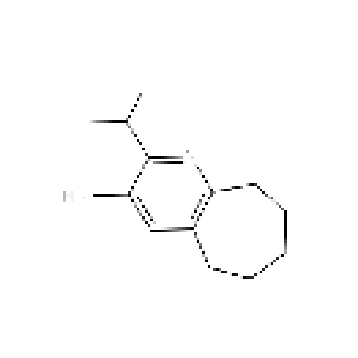 Cc1cc2c(nc1C(C)C)CCCCC2